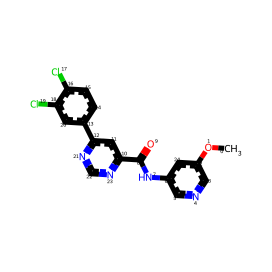 COc1cncc(NC(=O)c2cc(-c3ccc(Cl)c(Cl)c3)ncn2)c1